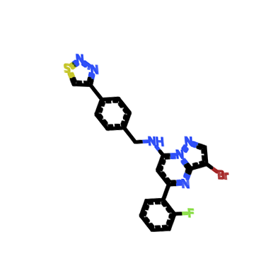 Fc1ccccc1-c1cc(NCc2ccc(-c3csnn3)cc2)n2ncc(Br)c2n1